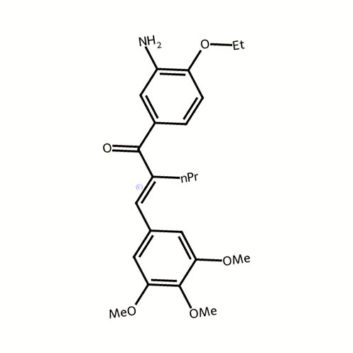 CCC/C(=C\c1cc(OC)c(OC)c(OC)c1)C(=O)c1ccc(OCC)c(N)c1